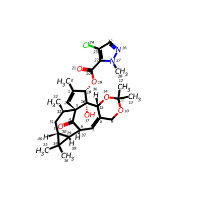 CC1=C[C@]23C(=O)[C@@H](C=C4COC(C)(C)O[C@H]4[C@]2(O)[C@H]1OC(=O)c1c(Cl)cnn1C)[C@H]1[C@@H](C[C@H]3C)C1(C)C